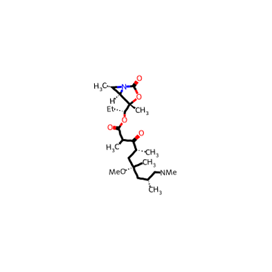 CC[C@@H](OC(=O)C(C)C(=O)[C@H](C)C[C@@](C)(C[C@@H](C)CNC)OC)[C@@]1(C)OC(=O)N2[C@@H](C)[C@@H]21